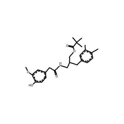 COc1cc(CC(=O)NCC(COC(=O)C(C)(C)C)Cc2ccc(C)c(C)c2)ccc1O